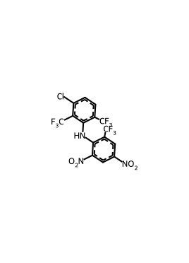 O=[N+]([O-])c1cc([N+](=O)[O-])c(Nc2c(C(F)(F)F)ccc(Cl)c2C(F)(F)F)c(C(F)(F)F)c1